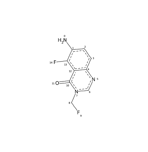 Nc1ccc2ncn(CF)c(=O)c2c1F